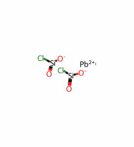 O=[Si]([O-])Cl.O=[Si]([O-])Cl.[Pb+2]